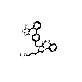 CCCCc1cn(-c2ccccc2O)c(=O)n1Cc1ccc(-c2cccnc2-c2nnn[nH]2)cc1